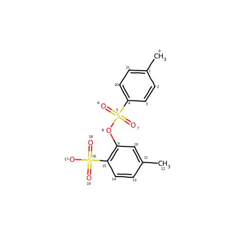 Cc1ccc(S(=O)(=O)Oc2cc(C)ccc2S([O])(=O)=O)cc1